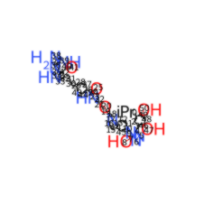 CC(C)c1cc(-c2nnc(O)n2-c2ccc3c(ccn3CCOCCNC(=O)c3ccc(CCc4c[nH]c5nc(N)[nH]c(=O)c45)cc3)c2)c(O)cc1O